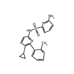 Cc1ccccc1-c1nc(NS(=O)(=O)c2cccc(N)n2)ccc1C1CC1